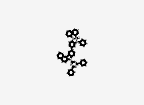 O=P1(c2ccccc2)N(c2ccccc2)c2ccc(-c3ccc4c(c3)c3c5ccccc5ccc3n4-c3nc(-c4ccccc4)nc(-c4ccccc4)n3)cc2N1c1ccccc1